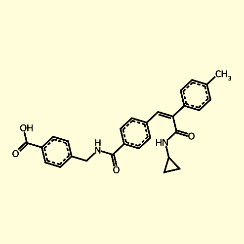 Cc1ccc(C(=Cc2ccc(C(=O)NCc3ccc(C(=O)O)cc3)cc2)C(=O)NC2CC2)cc1